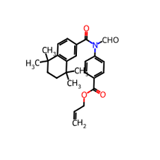 C=CCOC(=O)c1ccc(N(C=O)C(=O)c2ccc3c(c2)C(C)(C)CCC3(C)C)cc1